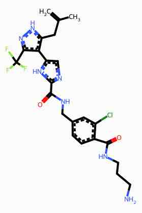 C=C(C)Cc1[nH]nc(C(F)(F)F)c1-c1cnc(C(=O)NCc2ccc(C(=O)NCCCN)c(Cl)c2)[nH]1